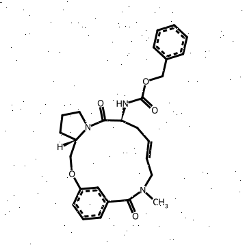 CN1C/C=C/C[C@H](NC(=O)OCc2ccccc2)C(=O)N2CCC[C@H]2COc2cccc(c2)C1=O